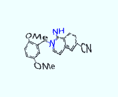 COc1ccc(OC)c(Cn2ccc3cc(C#N)ccc3c2=N)c1